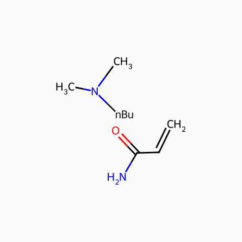 C=CC(N)=O.CCCCN(C)C